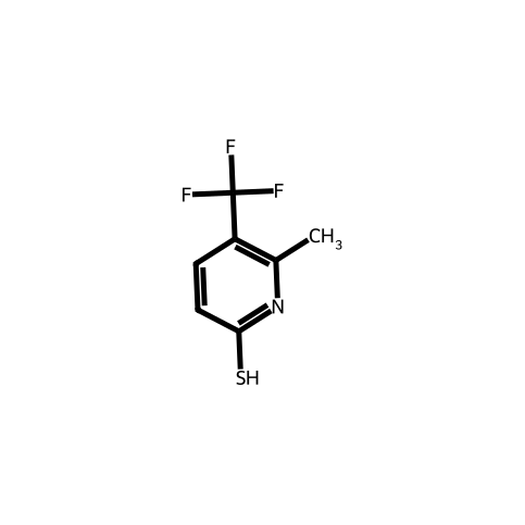 Cc1nc(S)ccc1C(F)(F)F